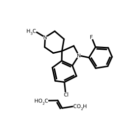 CN1CCC2(CC1)CN(c1ccccc1F)c1cc(Cl)ccc12.O=C(O)C=CC(=O)O